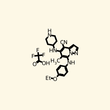 CCOc1ccc(Nc2c(C)c(NC3CCNCC3)c(C#N)c3ccnn23)cc1.O=C(O)C(F)(F)F